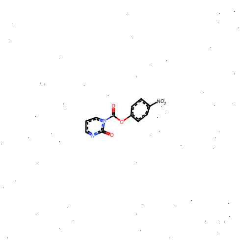 O=C(Oc1ccc([N+](=O)[O-])cc1)n1cccnc1=O